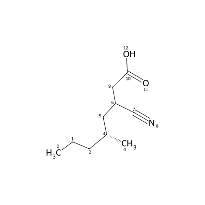 CCC[C@@H](C)CC(C#N)CC(=O)O